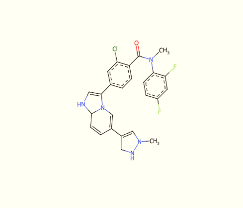 CN1C=C(C2=CN3C(c4ccc(C(=O)N(C)c5ccc(F)cc5F)c(Cl)c4)=CNC3C=C2)CN1